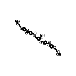 C=CC(=O)OCCCOc1ccc(OC(=O)C2CCC(C(=O)OCCc3ccc(OC(=O)C4CCC(C(=O)Oc5ccc(OCCCOC(=O)C=C)cc5)CC4)c(C=N)c3)CC2)cc1